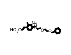 Cc1c(C=CC(=O)O)ccc2c1nnn2CCOCCOCc1ccccc1